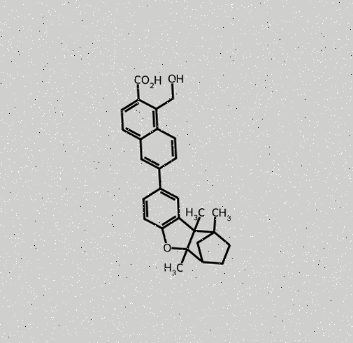 CC12CCC(C1)C1(C)Oc3ccc(-c4ccc5c(CO)c(C(=O)O)ccc5c4)cc3C21C